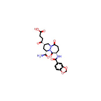 NC(=O)[C@@H]1C[C@H](C(=O)CCC(=O)O)CN2C(=O)CC[C@H](NC(=O)c3ccc4c(c3)OCO4)C(=O)N12